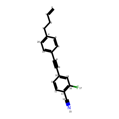 C=CCCc1ccc(C#Cc2ccc(C#N)c(F)c2)cc1